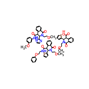 COCCN1C(=O)c2ccccc2C(C(=O)NCCOc2ccccc2)C1c1cccs1.COCCN1C(=O)c2ccccc2C(C(=O)Nc2cccc(OC)c2)C1c1ncc[nH]1.COCCN1C(=O)c2ccccc2C(C(=O)O)C1c1cccs1